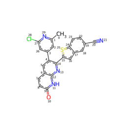 Cc1cc(-c2cc3ccc(=O)[nH]c3nc2-c2cc3cc(C#N)ccc3s2)cc(Cl)n1